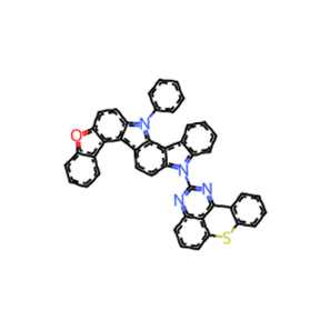 c1ccc(-n2c3ccc4oc5ccccc5c4c3c3ccc4c(c5ccccc5n4-c4nc5c6c(cccc6n4)Sc4ccccc4-5)c32)cc1